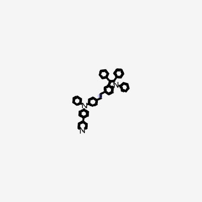 C(=C\c1ccc2c(c1)c(-c1ccccc1)c(-c1ccccc1)n2-c1ccccc1)/c1ccc(N(c2ccccc2)c2ccc(-c3ccncc3)cc2)cc1